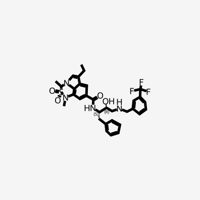 CCc1cn2c3c(cc(C(=O)N[C@@H](Cc4ccccc4)[C@H](O)CNCc4cccc(C(F)(F)F)c4)cc13)N(C)S(=O)(=O)C2C